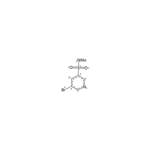 [CH2]NS(=O)(=O)c1cncc(Br)c1